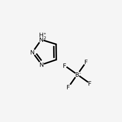 C1=C[NH2+]N=N1.F[B-](F)(F)F